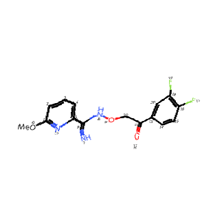 COc1cccc(C(=N)NOCC(=O)c2ccc(F)c(F)c2)n1